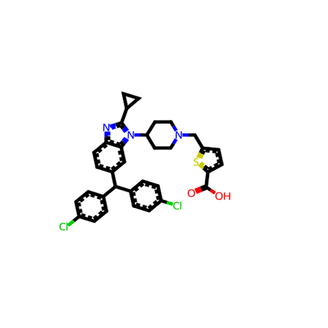 O=C(O)c1ccc(CN2CCC(n3c(C4CC4)nc4ccc(C(c5ccc(Cl)cc5)c5ccc(Cl)cc5)cc43)CC2)s1